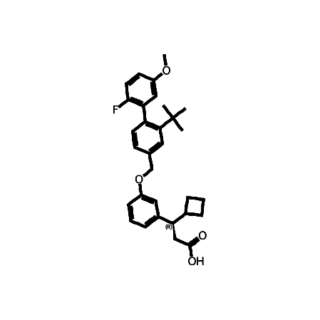 COc1ccc(F)c(-c2ccc(COc3cccc([C@H](CC(=O)O)C4CCC4)c3)cc2C(C)(C)C)c1